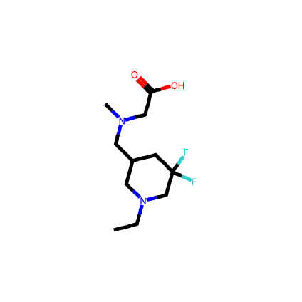 CCN1CC(CN(C)CC(=O)O)CC(F)(F)C1